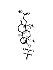 C[C@]1(CCC(=O)O)C(=O)CC[C@H]2[C@@H]1CC[C@]1(C)C(OS(=O)(=O)C(F)(F)F)=CC[C@@H]21